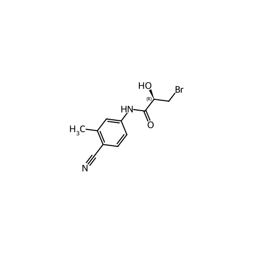 Cc1cc(NC(=O)[C@@H](O)CBr)ccc1C#N